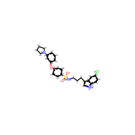 O=S(=O)(NCCCc1c[nH]c2ccc(Cl)cc12)c1ccc(Oc2cccc(N3CCCC3)c2)cc1